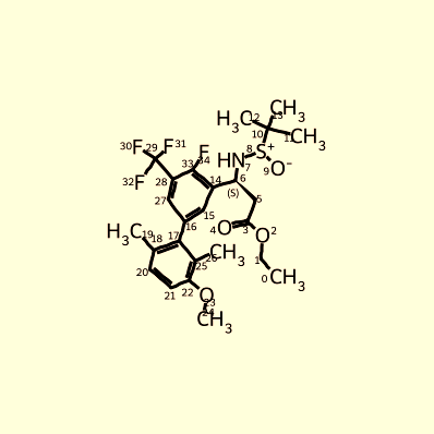 CCOC(=O)C[C@H](N[S+]([O-])C(C)(C)C)c1cc(-c2c(C)ccc(OC)c2C)cc(C(F)(F)F)c1F